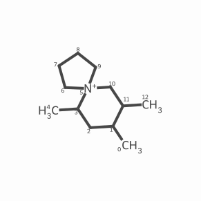 CC1CC(C)[N+]2(CCCC2)CC1C